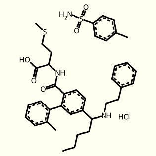 CCCCC(NCCc1ccccc1)c1ccc(C(=O)NC(CCSC)C(=O)O)c(-c2ccccc2C)c1.Cc1ccc(S(N)(=O)=O)cc1.Cl